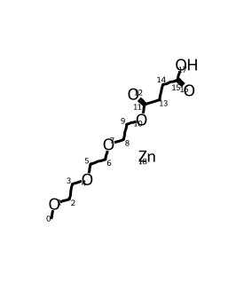 COCCOCCOCCOC(=O)CCC(=O)O.[Zn]